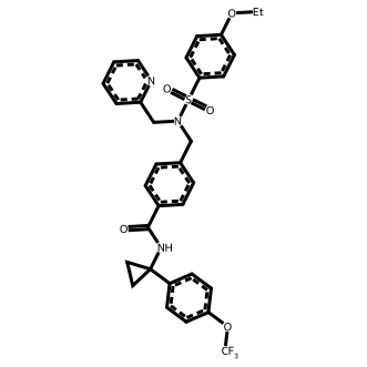 CCOc1ccc(S(=O)(=O)N(Cc2ccc(C(=O)NC3(c4ccc(OC(F)(F)F)cc4)CC3)cc2)Cc2ccccn2)cc1